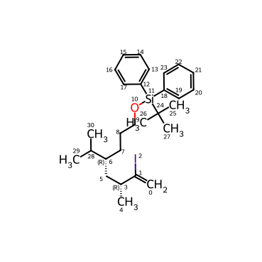 C=C(I)[C@H](C)C[C@@H](CCCO[Si](c1ccccc1)(c1ccccc1)C(C)(C)C)C(C)C